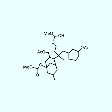 COC(=O)OC12CC(C)CC(C1)C(C(C)(CCOC(O)OC)CC1CCCC(OC(C)=O)C1)C(COC(C)=O)C2